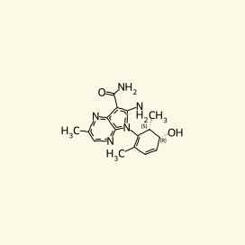 CC1=C(n2c(N)c(C(N)=O)c3nc(C)cnc32)[C@H](C)[C@H](O)C=C1